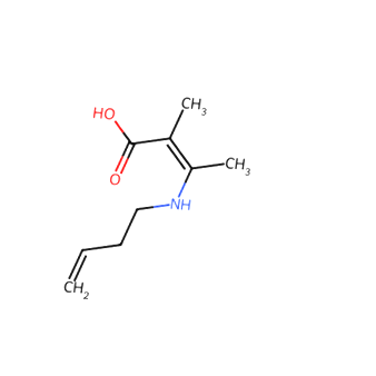 C=CCCNC(C)=C(C)C(=O)O